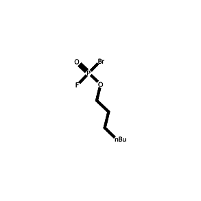 CCCCCCCOP(=O)(F)Br